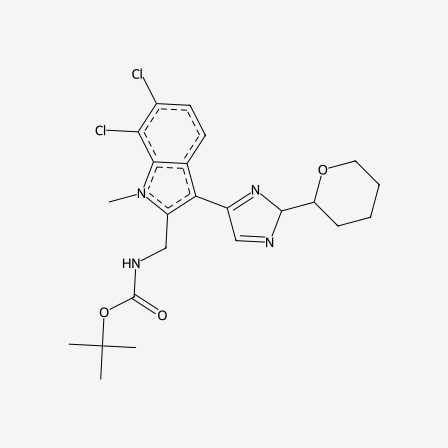 Cn1c(CNC(=O)OC(C)(C)C)c(C2=NC(C3CCCCO3)N=C2)c2ccc(Cl)c(Cl)c21